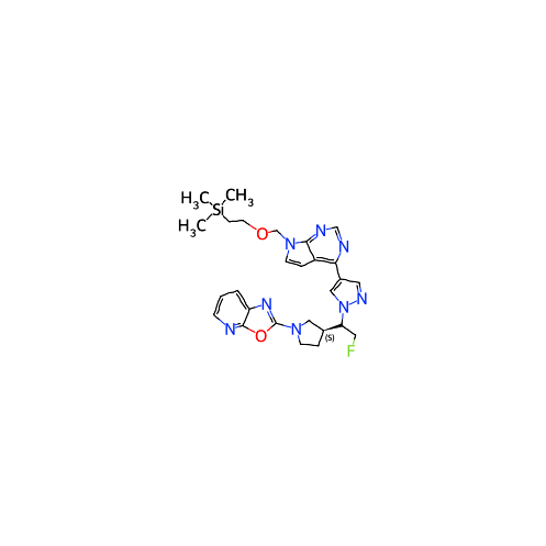 C[Si](C)(C)CCOCn1ccc2c(-c3cnn(C(CF)[C@H]4CCN(c5nc6cccnc6o5)C4)c3)ncnc21